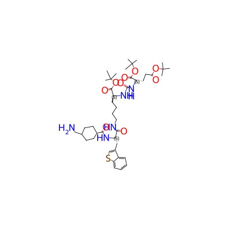 CC(C)(C)OC(=O)CC[C@H](NC(=O)N[C@@H](CCCCNC(=O)[C@H](Cc1csc2ccccc12)NC(=O)C1CCC(CN)CC1)C(=O)OC(C)(C)C)C(=O)OC(C)(C)C